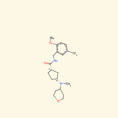 CN(C1CCOCC1)[C@@H]1CC[C@H](C(=O)NCc2cc(C(F)(F)F)ccc2OC(C)(C)C)C1